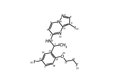 CC(Nc1ccn2ncc(I)c2n1)c1cc(F)ccc1OCCF